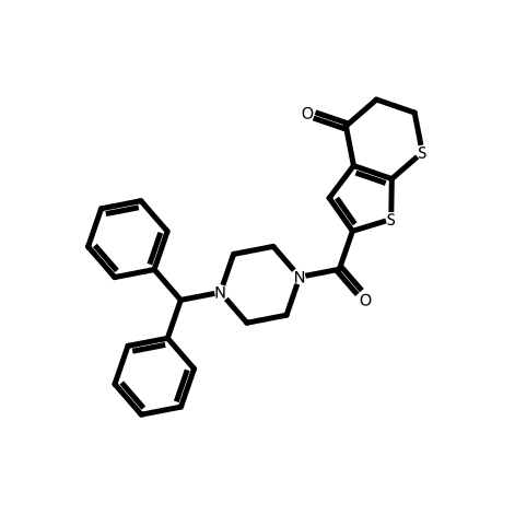 O=C1CCSc2sc(C(=O)N3CCN(C(c4ccccc4)c4ccccc4)CC3)cc21